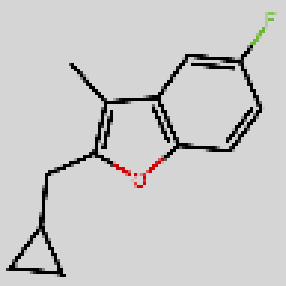 Cc1c(CC2CC2)oc2ccc(F)cc12